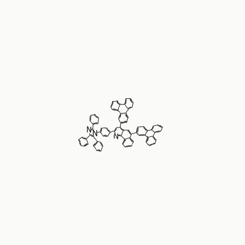 c1ccc(-c2nc(-c3ccccc3)n(-c3ccc(-c4cc(-c5ccc6c7ccccc7c7ccccc7c6c5)c5cc(-c6ccc7c8ccccc8c8ccccc8c7c6)c6ccccc6c5n4)cc3)c2-c2ccccc2)cc1